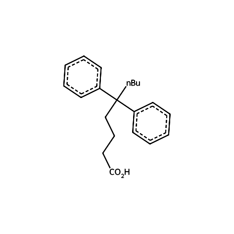 CCCCC(CCCC(=O)O)(c1ccccc1)c1ccccc1